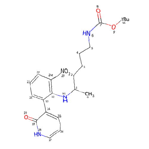 CC(CCCCNC(=O)OC(C)(C)C)Nc1c(-c2ccc[nH]c2=O)cccc1[N+](=O)[O-]